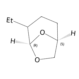 CCC1CC[C@H]2CO[C@@H]1O2